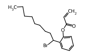 C=CC(=O)Oc1ccccc1C(Br)CCCCCCCC